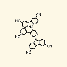 N#Cc1cccc(-c2cc(-n3c4ccc(C#N)cc4c4cc(C#N)ccc43)ncc2-n2c3ccc(C#N)cc3c3cc(C#N)ccc32)c1